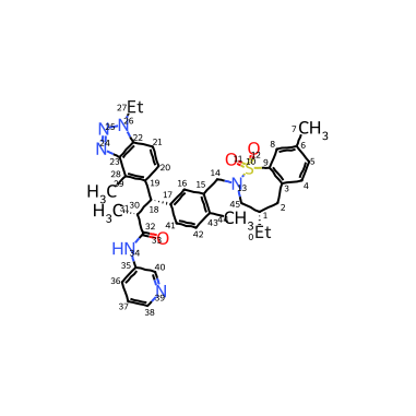 CC[C@H]1Cc2ccc(C)cc2S(=O)(=O)N(Cc2cc([C@@H](c3ccc4c(nnn4CC)c3C)[C@@H](C)C(=O)Nc3cccnc3)ccc2C)C1